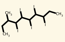 CCC(C)C(I)C(I)C(I)C(I)C(I)CC